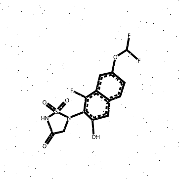 O=C1CN(c2c(O)cc3ccc(OC(F)F)cc3c2F)S(=O)(=O)N1